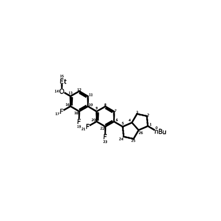 CCCCC1CCC2C(c3ccc(-c4ccc(OCC)c(F)c4F)c(F)c3F)CCC12